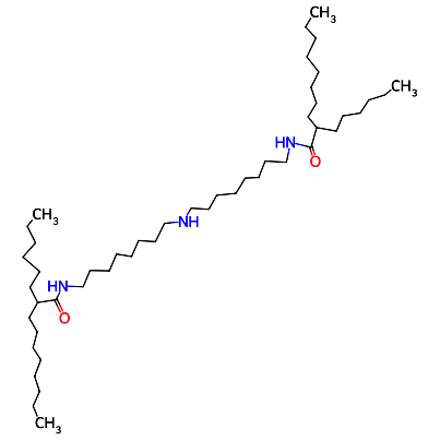 CCCCCCCCC(CCCCCC)C(=O)NCCCCCCCCNCCCCCCCCNC(=O)C(CCCCCC)CCCCCCCC